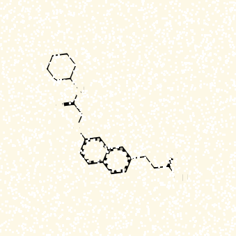 O=C(O)CCc1ccc2ccc(OCC(=O)NC3CCCCC3)cc2c1